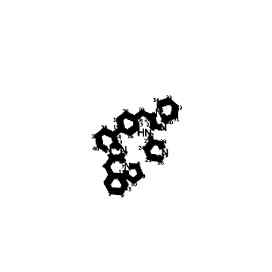 c1ccc(Cc2c(N3CCCC3)nc3c(-c4ccc(Cc5c(Nc6cccnc6)nc6ccccn56)cc4)cccn23)cc1